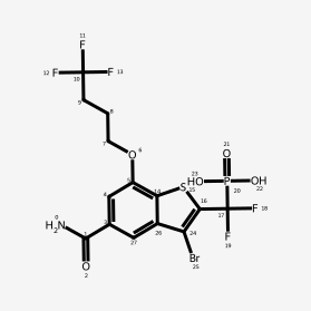 NC(=O)c1cc(OCCCC(F)(F)F)c2sc(C(F)(F)P(=O)(O)O)c(Br)c2c1